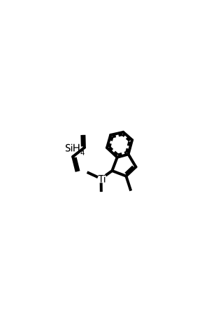 C=CC=C.CC1=Cc2ccccc2[CH]1[Ti]([CH3])[CH3].[SiH4]